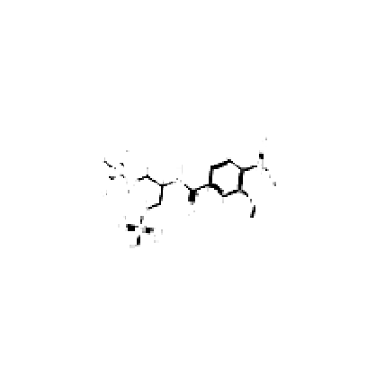 COc1cc(C(=O)NC(COS(C)(=O)=O)COS(C)(=O)=O)ccc1[N+](=O)[O-]